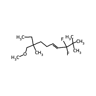 CCC(C)(CC/C=C/C(F)(F)C(C)(C)C)COC